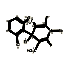 CCN1C(C)=C(C(=O)O)C(CC)(c2c(Cl)cccc2Cl)C(C(=O)O)=C1C